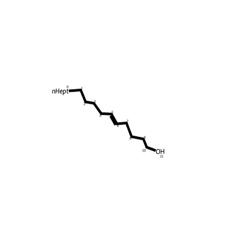 CCCCCCCCCCCC=CCCCCO